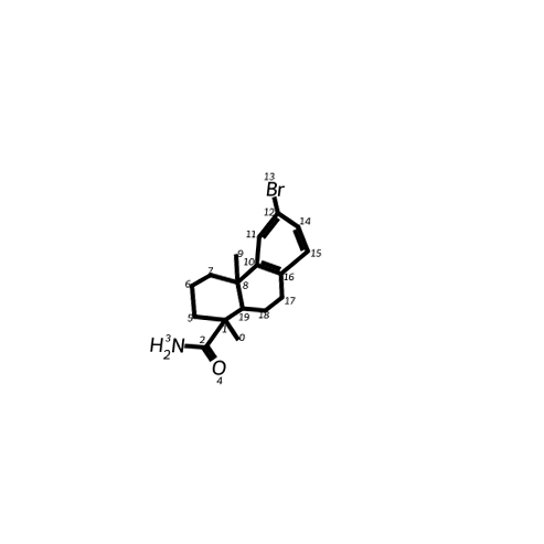 CC1(C(N)=O)CCCC2(C)c3cc(Br)ccc3CCC12